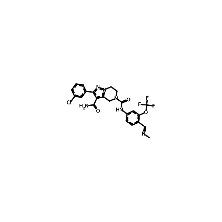 C/N=C/c1ccc(NC(=O)N2CCn3nc(-c4cccc(Cl)c4)c(C(N)=O)c3C2)cc1OC(F)(F)F